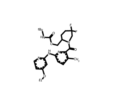 CCOc1ccnc(Nc2ccc(C)c(C(=O)N3CC(F)(F)CCC3COC(=O)NC(C)(C)C)n2)c1